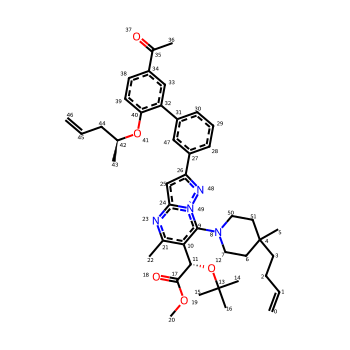 C=CCCC1(C)CCN(c2c([C@H](OC(C)(C)C)C(=O)OC)c(C)nc3cc(-c4cccc(-c5cc(C(C)=O)ccc5O[C@@H](C)CC=C)c4)nn23)CC1